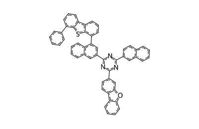 c1ccc(-c2cccc3c2sc2c(-c4cc(-c5nc(-c6ccc7ccccc7c6)nc(-c6ccc7c(c6)oc6ccccc67)n5)cc5ccccc45)cccc23)cc1